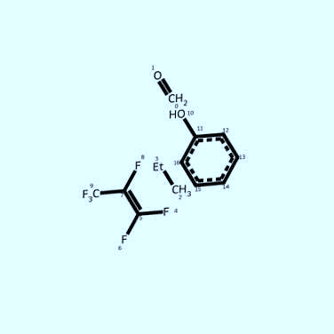 C=O.CCC.FC(F)=C(F)C(F)(F)F.Oc1ccccc1